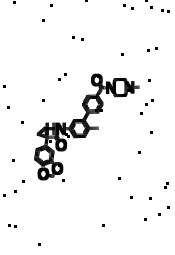 Cc1ccc(NC(=O)C2(c3ccc4c(c3)OCO4)CC2)cc1-c1ccc(C(=O)N2CCN(C)CC2)cc1